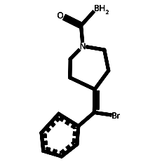 BC(=O)N1CCC(=C(Br)c2ccccc2)CC1